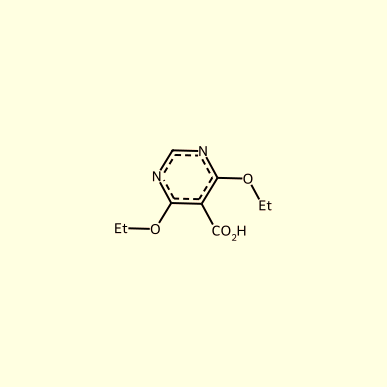 CCOc1ncnc(OCC)c1C(=O)O